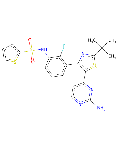 CC(C)(C)c1nc(-c2cccc(NS(=O)(=O)c3cccs3)c2F)c(-c2ccnc(N)n2)s1